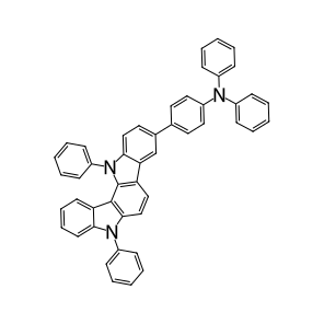 c1ccc(N(c2ccccc2)c2ccc(-c3ccc4c(c3)c3ccc5c(c6ccccc6n5-c5ccccc5)c3n4-c3ccccc3)cc2)cc1